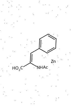 CC(=O)N/C(=C\c1ccccc1)C(=O)O.[Zn]